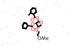 COCCO[C@H]1CO[C@H](OC(=O)c2ccccc2C)[C@H]1OC(=O)c1ccccc1